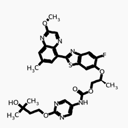 COc1cnc2c(-c3nc4cc(F)c(O[C@@H](C)COC(=O)Nc5cnc(OCCC(C)(C)O)nc5)cc4s3)cc(C)cc2n1